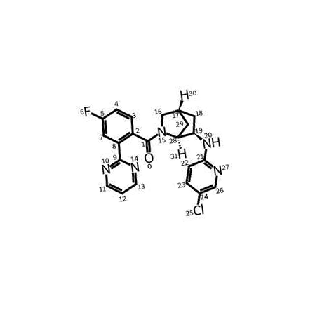 O=C(c1ccc(F)cc1-c1ncccn1)N1C[C@@H]2C[C@@H](Nc3ccc(Cl)cn3)[C@@H]1C2